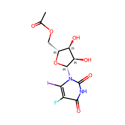 CC(=O)OC[C@H]1O[C@@H](n2c(I)c(F)c(=O)[nH]c2=O)[C@H](O)[C@@H]1O